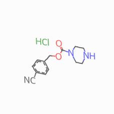 Cl.N#Cc1ccc(COC(=O)N2CCNCC2)cc1